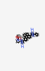 CC(C)(C)OC(=O)N1CCC[C@H]1c1nc(-c2ccc(-c3ccc(-c4c[nH]c(C5CCCC5)n4)c4c3C3(CCCC3)CC4)cc2)c[nH]1